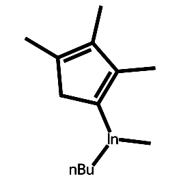 CCC[CH2][In]([CH3])[C]1=C(C)C(C)=C(C)C1